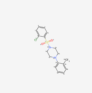 O=S(=O)(c1ccccc1Cl)N1CCN(c2ccccc2C(F)(F)F)CC1